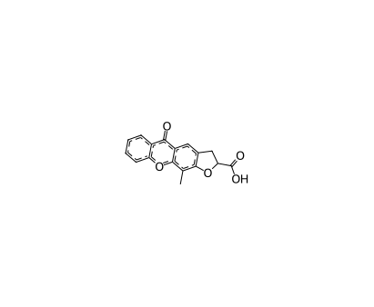 Cc1c2c(cc3c(=O)c4ccccc4oc13)CC(C(=O)O)O2